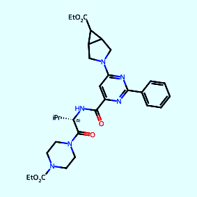 CCOC(=O)C1C2CN(c3cc(C(=O)N[C@H](C(=O)N4CCN(C(=O)OCC)CC4)C(C)C)nc(-c4ccccc4)n3)CC21